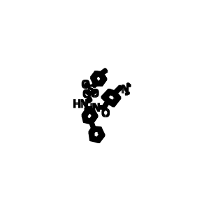 Cc1ccc(S(=O)(=O)OCNc2ccc(-c3ccccc3)cc2NC(=O)c2ccc(CN(C)C)cc2)cc1